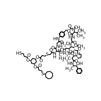 CC[C@H](C)[C@@H]([C@@H](CC(=O)N1CCC[C@H]1[C@H](OC)[C@@H](C)C(=O)N[C@H](C)[C@@H](O)c1ccccc1)OC)N(C)C(=O)CNC(=O)C(C(C)C)N(C)C(=O)OCc1ccc(NC(=O)CNC(=O)C(NC(=O)CSCCC(=O)O[C@@H]2C[C@H](OC(=O)CCS)C[C@H](OC(=O)CCSC3CCCCCCC3)C2)C(C)C)cc1